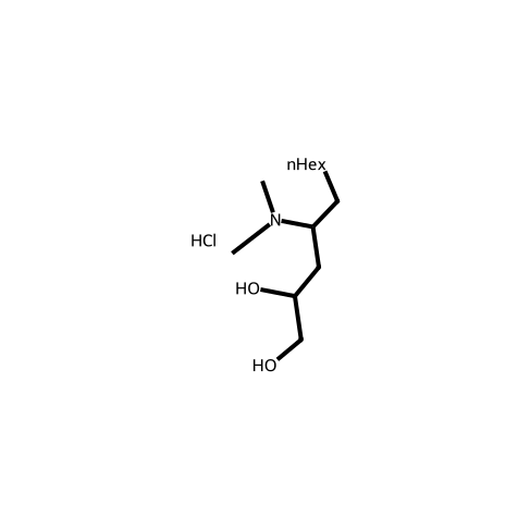 CCCCCCCC(CC(O)CO)N(C)C.Cl